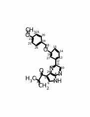 C=C(C)C(=O)c1c[nH]c2ncc(-c3cccc(OCc4ccc(OC)cc4)c3)nc12